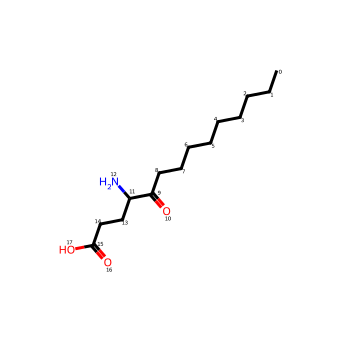 CCCCCCCCCC(=O)C(N)CCC(=O)O